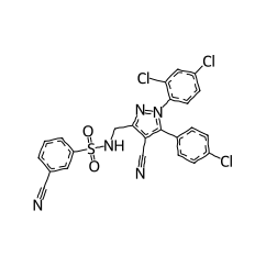 N#Cc1cccc(S(=O)(=O)NCc2nn(-c3ccc(Cl)cc3Cl)c(-c3ccc(Cl)cc3)c2C#N)c1